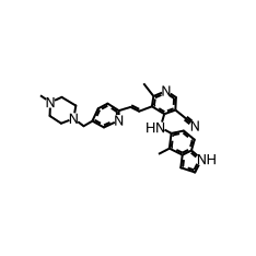 Cc1ncc(C#N)c(Nc2ccc3[nH]ccc3c2C)c1C=Cc1ccc(CN2CCN(C)CC2)cn1